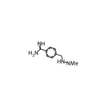 CNNCc1ccc(C(=N)N)cc1